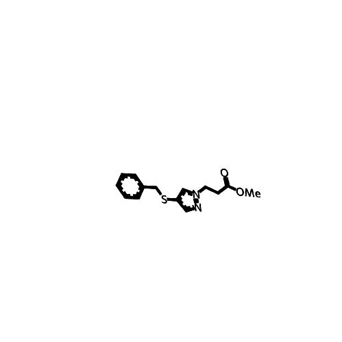 COC(=O)CCn1cc(SCc2ccccc2)cn1